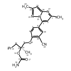 Cc1cc(-c2ccc(OC[C@](C)(CC(C)C)OC(N)=O)c(C#N)c2)n2nc(C)cc2n1